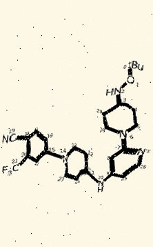 CC(C)(C)ONC1CCN(c2cc(NC3CCN(c4ccc(C#N)c(C(F)(F)F)c4)CC3)ccn2)CC1